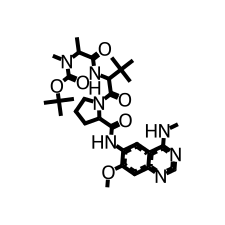 CNc1ncnc2cc(OC)c(NC(=O)C3CCCN3C(=O)C(NC(=O)C(C)N(C)C(=O)OC(C)(C)C)C(C)(C)C)cc12